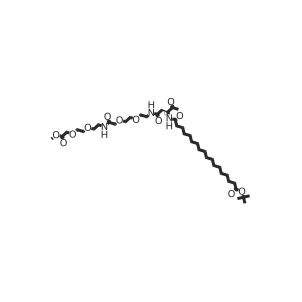 COC(=O)COCCOCCNC(=O)COCCOCCNC(=O)C[C@H](NC(=O)CCCCCCCCCCCCCCCCC(=O)OC(C)(C)C)C(C)=O